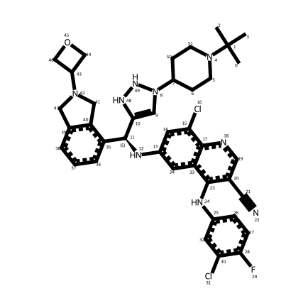 CC(C)(C)N1CCC(N2C=C([C@@H](Nc3cc(Cl)c4ncc(C#N)c(Nc5ccc(F)c(Cl)c5)c4c3)c3cccc4c3CN(C3COC3)C4)NN2)CC1